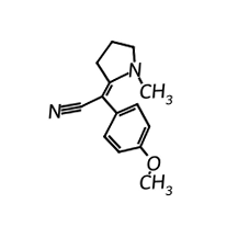 COc1ccc(C(C#N)=C2CCCN2C)cc1